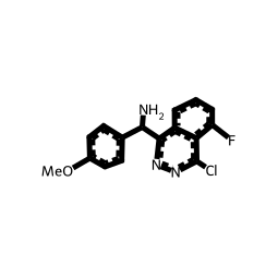 COc1ccc(C(N)c2nnc(Cl)c3c(F)cccc23)cc1